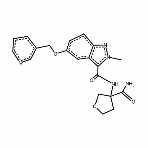 Cn1nc2ccc(OCc3cccnc3)cc2c1C(=O)NC1(C(N)=O)CCOC1